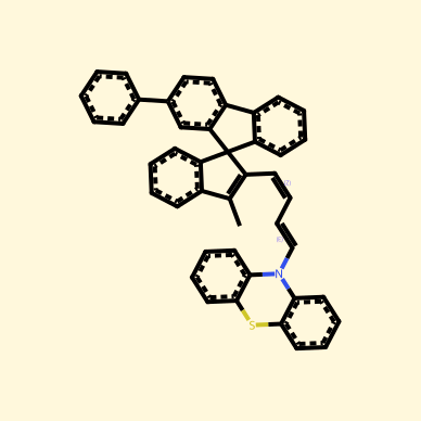 CC1=C(/C=C\C=C\N2c3ccccc3Sc3ccccc32)C2(c3ccccc31)c1ccccc1-c1ccc(-c3ccccc3)cc12